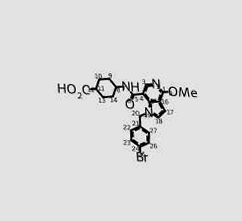 COc1ncc(C(=O)NC2CCC(C(=O)O)CC2)c2c1ccn2Cc1ccc(Br)cc1